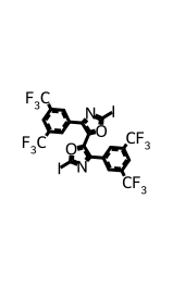 FC(F)(F)c1cc(-c2nc(I)oc2-c2oc(I)nc2-c2cc(C(F)(F)F)cc(C(F)(F)F)c2)cc(C(F)(F)F)c1